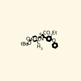 CCOC(=O)c1sc(N2CCN(C(=O)OC(C)(C)C)CC2C)nc1-c1ccc(Oc2ccccc2)cc1